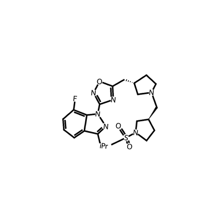 CC(C)c1nn(-c2noc(C[C@@H]3CCN(C[C@H]4CCN(S(C)(=O)=O)C4)C3)n2)c2c(F)cccc12